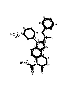 COC(=O)N1c2ccc3c(nc(N(C)Cc4ccccc4)n3[C@@H]3CCC[C@@H](C(=O)O)C3)c2CCC1C